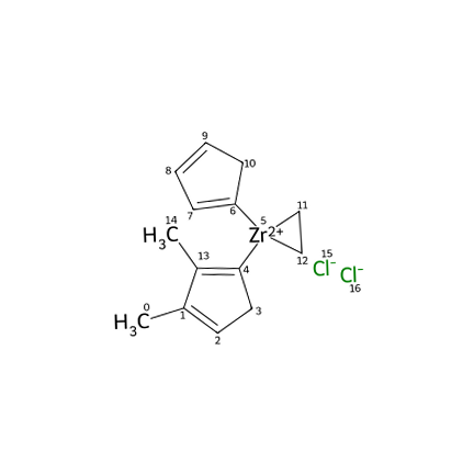 CC1=CC[C]([Zr+2]2([C]3=CC=CC3)[CH2][CH2]2)=C1C.[Cl-].[Cl-]